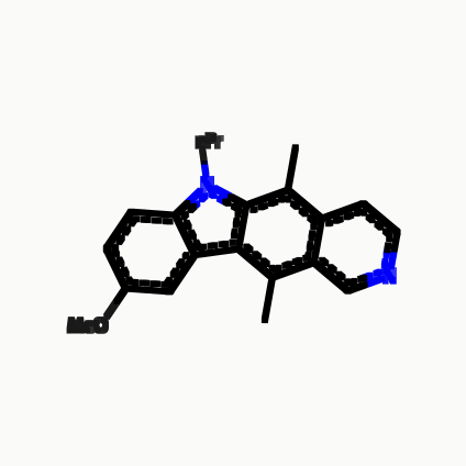 CCCn1c2ccc(OC)cc2c2c(C)c3cnccc3c(C)c21